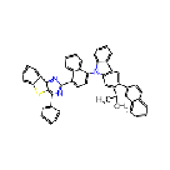 CC1(C)c2cc3c(cc2-c2ccc4ccccc4c21)c1ccccc1n3-c1ccc(-c2nc(-c3ccccc3)c3sc4ccccc4c3n2)c2ccccc12